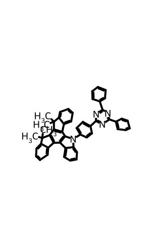 CC1(C)c2ccccc2-c2c1c1c(c3c2c2ccccc2n3-c2ccc(-c3nc(-c4ccccc4)nc(-c4ccccc4)n3)cc2)-c2ccccc2C1(C)C